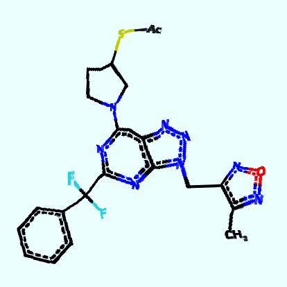 CC(=O)SC1CCN(c2nc(C(F)(F)c3ccccc3)nc3c2nnn3Cc2nonc2C)C1